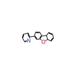 C1=CC2Oc3cc(-c4ccccn4)ccc3C2C=C1